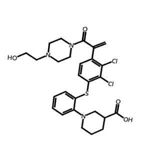 C=C(C(=O)N1CCN(CCO)CC1)c1ccc(Sc2ccccc2N2CCCC(C(=O)O)C2)c(Cl)c1Cl